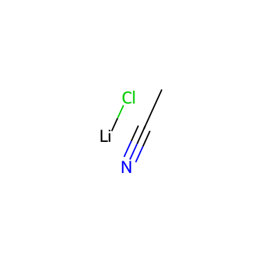 CC#N.[Li][Cl]